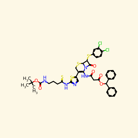 CC(C)(C)OC(=O)NCCCC(=S)Nc1ncc(C2=C(NC(=O)CC(=O)OC(c3ccccc3)c3ccccc3)N3C(=O)C(Sc4ccc(Cl)c(Cl)c4)C3SC2)s1